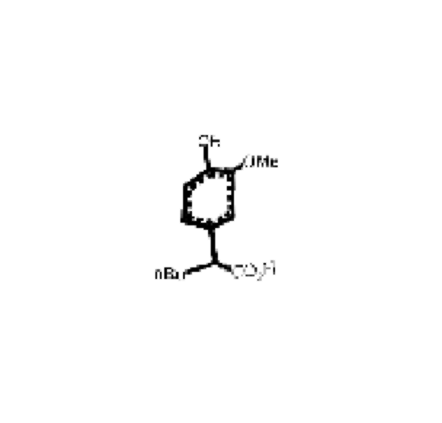 CCCCC(C(=O)O)c1ccc(O)c(OC)c1